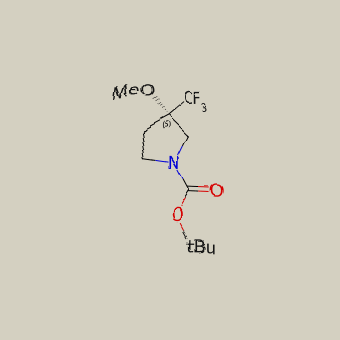 CO[C@@]1(C(F)(F)F)CCN(C(=O)OC(C)(C)C)C1